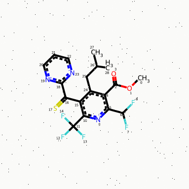 COC(=O)c1c(C(F)F)nc(C(F)(F)F)c(C(=S)c2ncccn2)c1CC(C)C